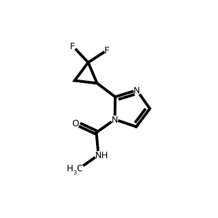 CNC(=O)n1ccnc1C1CC1(F)F